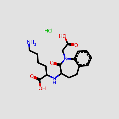 Cl.NCCCCC(NC1CCc2ccccc2N(CC(=O)O)C1=O)C(=O)O